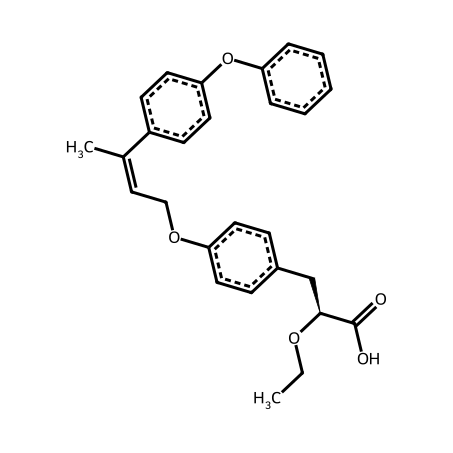 CCO[C@@H](Cc1ccc(OC/C=C(/C)c2ccc(Oc3ccccc3)cc2)cc1)C(=O)O